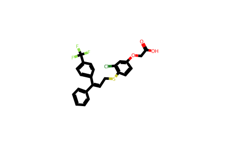 O=C(O)COc1ccc(SCC=C(c2ccccc2)c2ccc(C(F)(F)F)cc2)c(Cl)c1